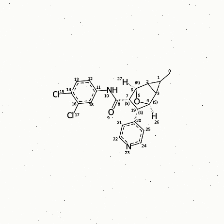 CC1C2C1[C@@H]1O[C@H]2[C@@H](C(=O)Nc2ccc(Cl)c(Cl)c2)[C@H]1c1ccncc1